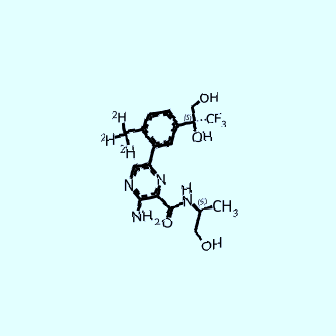 [2H]C([2H])([2H])c1ccc([C@](O)(CO)C(F)(F)F)cc1-c1cnc(N)c(C(=O)N[C@@H](C)CO)n1